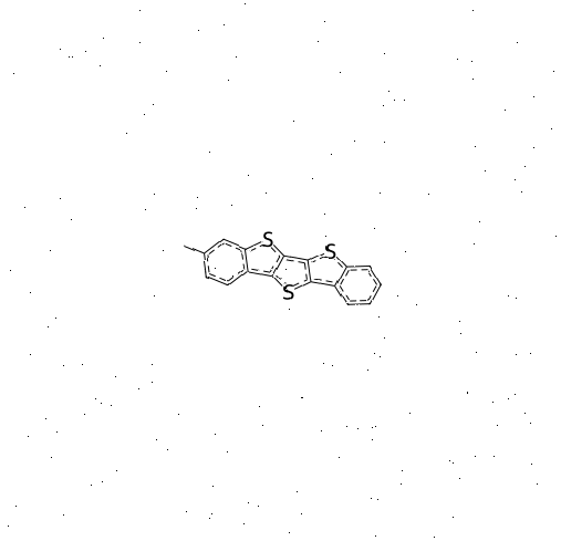 Cc1ccc2c(c1)sc1c2sc2c3ccccc3sc21